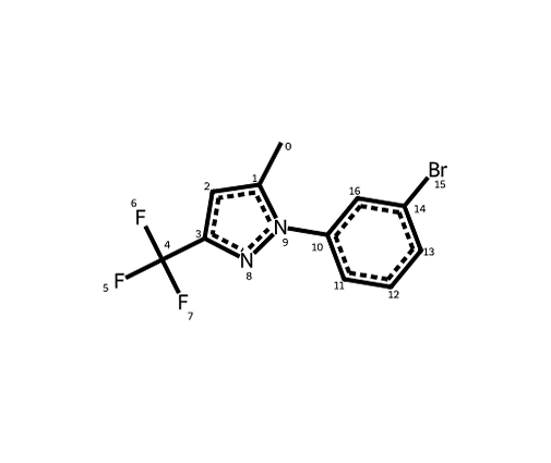 Cc1cc(C(F)(F)F)nn1-c1cccc(Br)c1